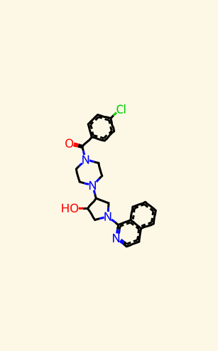 O=C(c1ccc(Cl)cc1)N1CCN(C2CN(c3nccc4ccccc34)CC2O)CC1